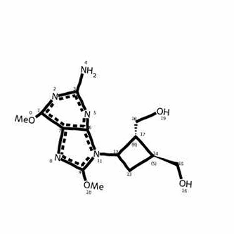 COc1nc(N)nc2c1nc(OC)n2C1C[C@H](CO)[C@H]1CO